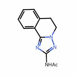 CC(=O)Nc1nc2n(n1)CCc1ccccc1-2